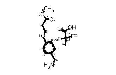 COC(=O)CCOc1ccc(CN)cc1.O=C(O)C(F)(F)F